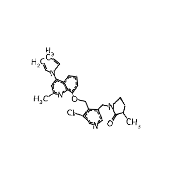 C=CN(/C=C\C)c1cc(C)nc2c(OCc3c(Cl)cncc3CN3CCC(C)C3=O)cccc12